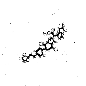 O=C(O)C(c1ncn2c1C[C@@H](F)C2)n1cc2c(Cl)cc(-c3ccc(CCC4OCCO4)cc3)c(Cl)c2n1